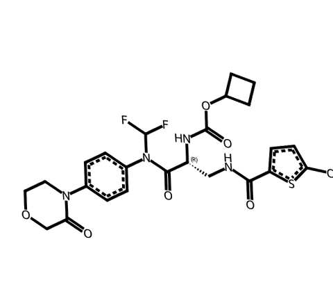 O=C(N[C@H](CNC(=O)c1ccc(Cl)s1)C(=O)N(c1ccc(N2CCOCC2=O)cc1)C(F)F)OC1CCC1